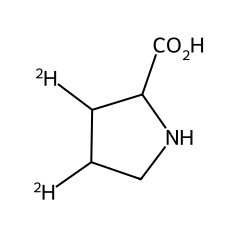 [2H]C1CNC(C(=O)O)C1[2H]